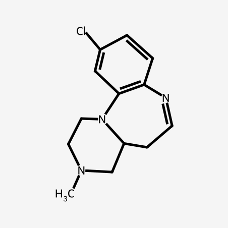 CN1CCN2c3cc(Cl)ccc3N=CCC2C1